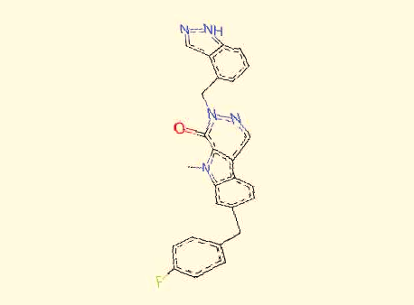 Cn1c2cc(Cc3ccc(F)cc3)ccc2c2cnn(Cc3cccc4[nH]ncc34)c(=O)c21